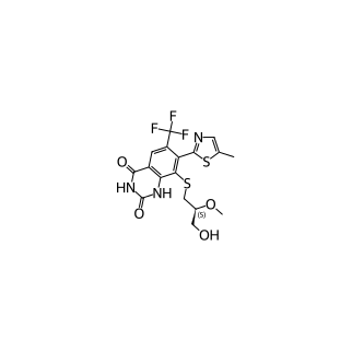 CO[C@@H](CO)CSc1c(-c2ncc(C)s2)c(C(F)(F)F)cc2c(=O)[nH]c(=O)[nH]c12